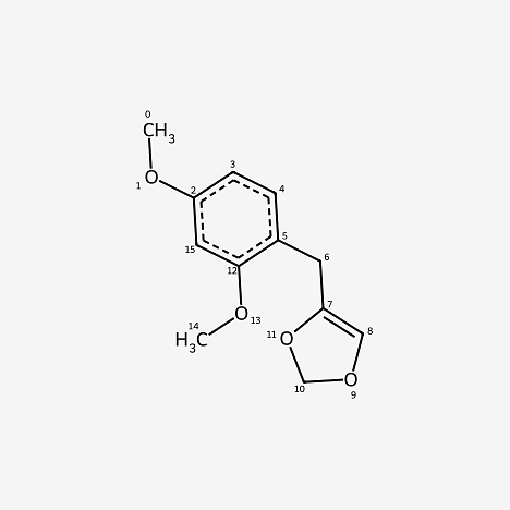 COc1ccc(CC2=COCO2)c(OC)c1